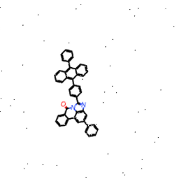 O=c1c2ccccc2c2cc(-c3ccccc3)cc3nc(-c4ccc(-c5c6ccccc6c(-c6ccccc6)c6ccccc56)cc4)n1c32